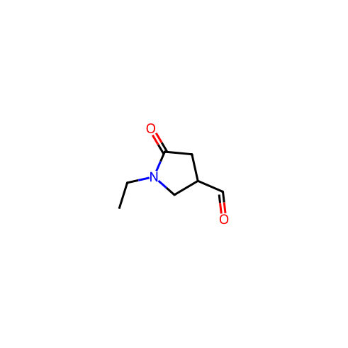 CCN1CC(C=O)CC1=O